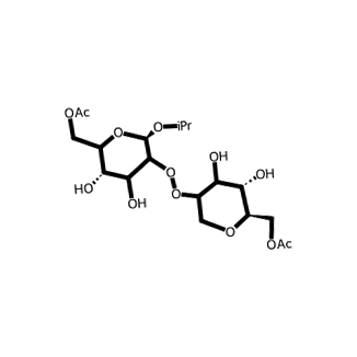 CC(=O)OCC1O[C@@H](OC(C)C)C(OOC2CO[C@H](COC(C)=O)[C@@H](O)C2O)C(O)[C@@H]1O